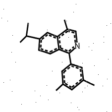 Cc1cc(C)cc(-c2ncc(C)c3cc(C(C)C)ccc23)c1